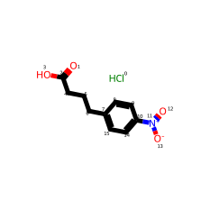 Cl.O=C(O)CCCc1ccc([N+](=O)[O-])cc1